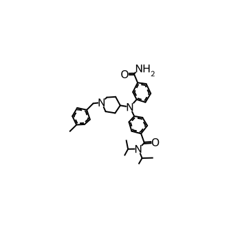 Cc1ccc(CN2CCC(N(c3ccc(C(=O)N(C(C)C)C(C)C)cc3)c3cccc(C(N)=O)c3)CC2)cc1